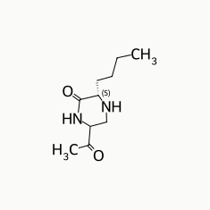 CCCC[C@@H]1NCC(C(C)=O)NC1=O